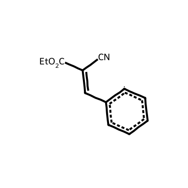 CCOC(=O)C(C#N)=Cc1[c]cccc1